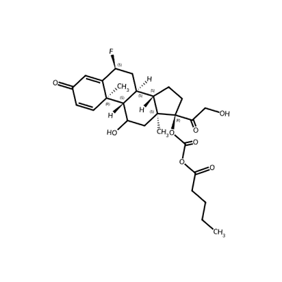 CCCCC(=O)OC(=O)O[C@]1(C(=O)CO)CC[C@H]2[C@@H]3C[C@H](F)C4=CC(=O)C=C[C@]4(C)[C@H]3C(O)C[C@@]21C